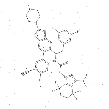 N#Cc1cc(-c2cc3sc(N4CCOCC4)nc3nc2C(Cc2cc(F)cc(F)c2)NC(=O)Cn2nc(C(F)F)c3c2C(F)(F)CCC3(F)F)ccc1F